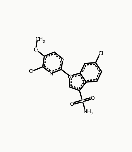 COc1cnc(-n2cc(S(N)(=O)=O)c3ccc(Cl)cc32)nc1Cl